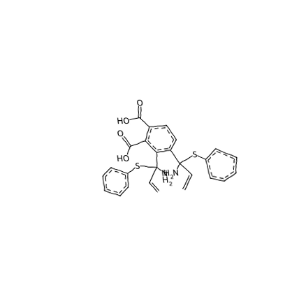 C=CC(N)(Sc1ccccc1)c1ccc(C(=O)O)c(C(=O)O)c1C(N)(C=C)Sc1ccccc1